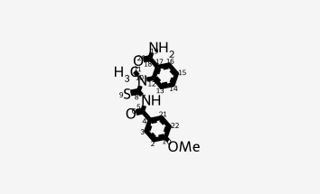 COc1ccc(C(=O)NC(=S)N(C)c2ccccc2C(N)=O)cc1